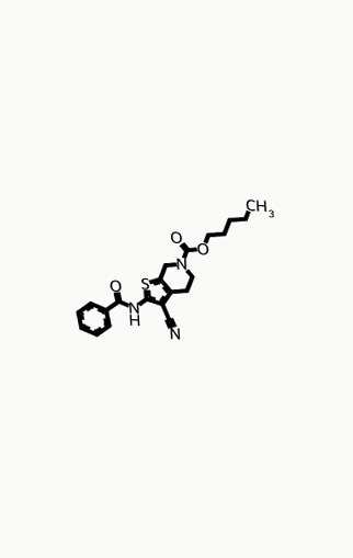 CCCCCOC(=O)N1CCc2c(sc(NC(=O)c3ccccc3)c2C#N)C1